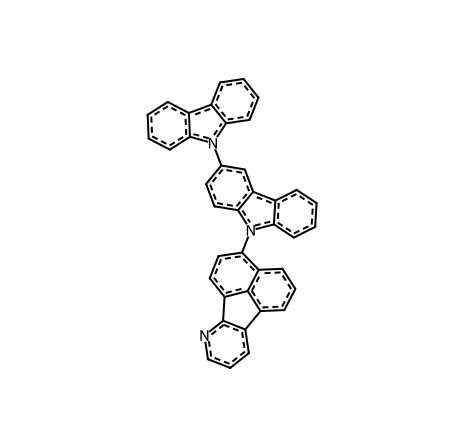 c1cnc2c(c1)-c1cccc3c(-n4c5ccccc5c5cc(-n6c7ccccc7c7ccccc76)ccc54)ccc-2c13